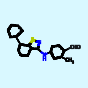 Cc1cc(Nc2nsc3c(-c4ccccc4)cccc23)ccc1C=O